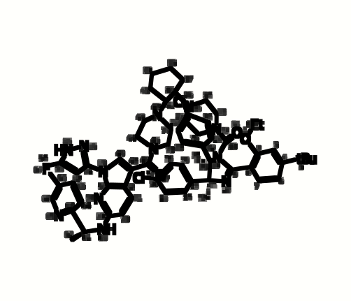 CCOc1cc(C(C)(C)C)ccc1C1=N[C@@](C)(c2ccc(Cl)cc2)[C@@](C)(c2ccc(Cl)cc2)N1C(=O)N1CCN(C2CCCCC2N2CCN(C(=O)c3cn(-c4cc(C)[nH]n4)c4nc(N[C@@H](C)c5ccc(F)cn5)ccc34)CC2)CC1